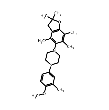 COc1ccc(N2CCN(c3c(C)c(C)c4c(c3C)CC(C)(C)O4)CC2)cc1C